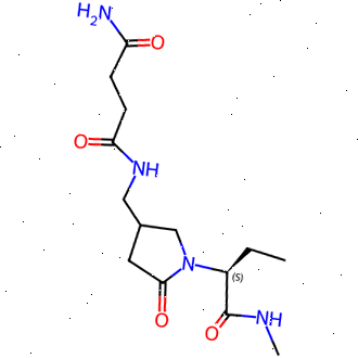 CC[C@@H](C(=O)NC)N1CC(CNC(=O)CCC(N)=O)CC1=O